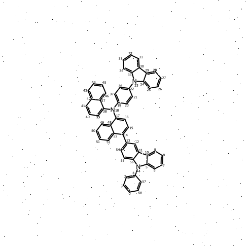 c1ccc(-n2c3ccccc3c3cc(-c4ccc(N(c5ccc(-n6c7ccccc7c7ccccc76)cc5)c5cccc6ccccc56)c5ccccc45)ccc32)cc1